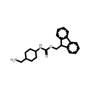 NCC1CCC(NC(=O)OCC2c3ccccc3-c3ccccc32)CC1